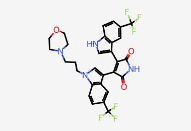 O=C1NC(=O)C(c2cn(CCCN3CCOCC3)c3ccc(C(F)(F)F)cc23)=C1c1c[nH]c2ccc(C(F)(F)F)cc12